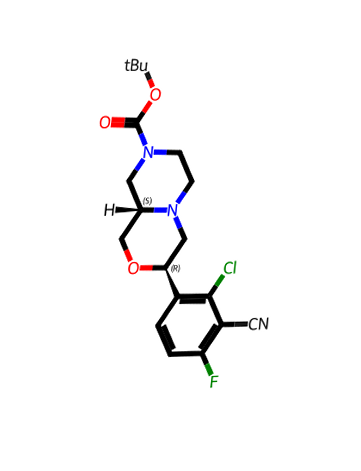 CC(C)(C)OC(=O)N1CCN2C[C@@H](c3ccc(F)c(C#N)c3Cl)OC[C@@H]2C1